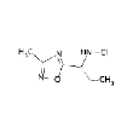 CC[C@@H](NCl)c1nc(C)no1